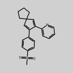 CS(=O)(=O)c1ccc(C2=CC3(C=C2c2ccccn2)CCCC3)cc1